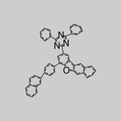 c1ccc(-c2nc(-c3ccccc3)nc(-c3cc(-c4ccc(-c5ccc6ccccc6c5)cc4)c4oc5cc6ccccc6cc5c4c3)n2)cc1